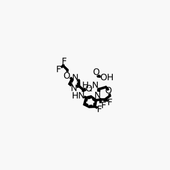 CC1(c2cc(NC(=O)c3cnc(OCC(F)F)cn3)ccc2F)N=C(N)COCC1(F)F.O=CO